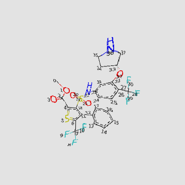 COC(=O)c1sc(C(F)(F)F)c(-c2ccccc2)c1S(=O)(=O)Nc1ccc(C(F)(F)F)c(O[C@@H]2CCNC2)c1